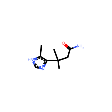 Cc1[nH]cnc1C(C)(C)CC(N)=O